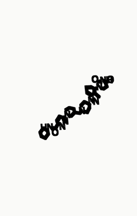 O=C1CCN(c2cccc3c2cnn3C2CCN(CC3CCCN(c4ccc(C(=O)NC5CCCCC5)nn4)C3)CC2)C(=O)N1